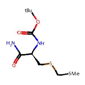 CSCSC[C@H](NC(=O)OC(C)(C)C)C(N)=O